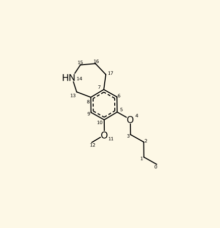 CCCCOc1cc2c(cc1OC)CNCCC2